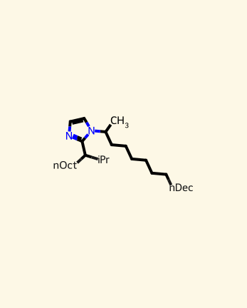 CCCCCCCCCCCCCCCCC(C)n1ccnc1C(CCCCCCCC)C(C)C